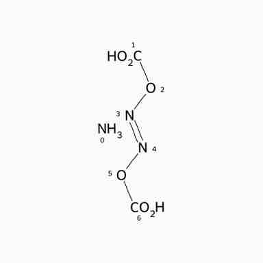 N.O=C(O)ON=NOC(=O)O